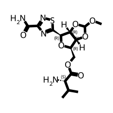 COC1O[C@@H]2[C@H](O1)[C@@H](COC(=O)[C@@H](N)C(C)C)O[C@H]2c1nc(C(N)=O)ns1